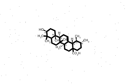 C[C@H]1[C@H](C)CCC2(C(=O)O)CC[C@]3(C)C(=CC[C@H]4C3(C)CCC3C(C)(C)[C@@H](O)CC[C@@]34C)[C@H]12